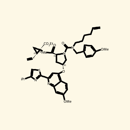 C=CCCCCN(Cc1ccc(OC)cc1)C(=O)N1C[C@H](Oc2cc(-c3nc(C(C)C)cs3)nc3cc(OC)ccc23)C[C@H]1C(=O)N[C@]1(C(=O)OCC)C[C@H]1C=C